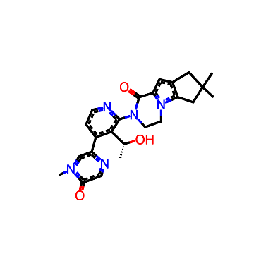 C[C@@H](O)c1c(-c2cn(C)c(=O)cn2)ccnc1N1CCn2c(cc3c2CC(C)(C)C3)C1=O